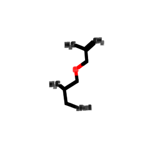 C=C(C)COCC(C)CCCCCC